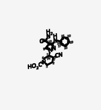 N#C[C@@H]1CCN(C(=O)O)C[C@H]1n1cc(C(N)=O)c(Nc2ccccc2)n1